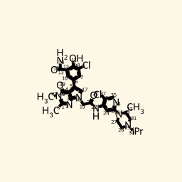 Cc1nc2c(c(-c3cc(Cl)c(O)c(C(N)=O)c3)cn2CC(=O)Nc2cc(N3CCN(C(C)C)C[C@@H]3C)ncc2Cl)c(=O)n1C